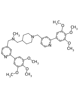 COc1cc(-c2cc(CN(C)CC3CCN(Cc4ccnc(-c5cc(OC)c(OC)c(OC)c5)c4)CC3)ccn2)cc(OC)c1OC